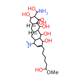 COC(O)CCCCCC1=CC(N(C)C)C2C[C@H]3C[C@H]4CC(O)C(C(N)O)C(=O)[C@@]4(O)C(O)C3C(O)C2C1O